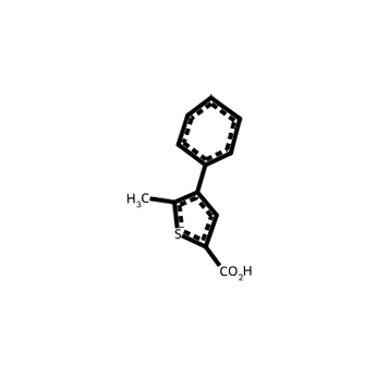 Cc1sc(C(=O)O)cc1-c1cc[c]cc1